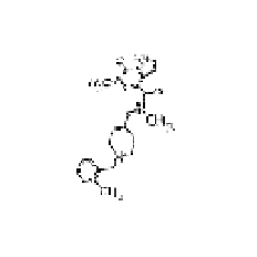 Cc1ccccc1CN1CCC(CN(C)C(=O)c2cn(C)c(=O)c3[nH]ccc23)CC1